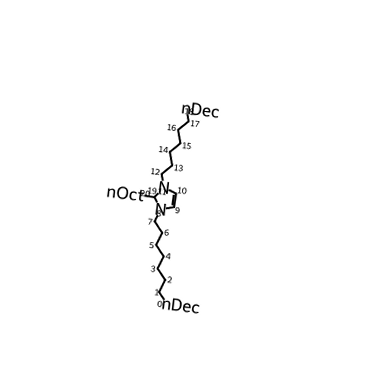 CCCCCCCCCCCCCCCCCN1C=CN(CCCCCCCCCCCCCCCC)C1CCCCCCCC